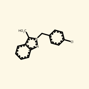 O=C(O)c1c2ccccc2nn1Cc1ccc(Cl)cc1